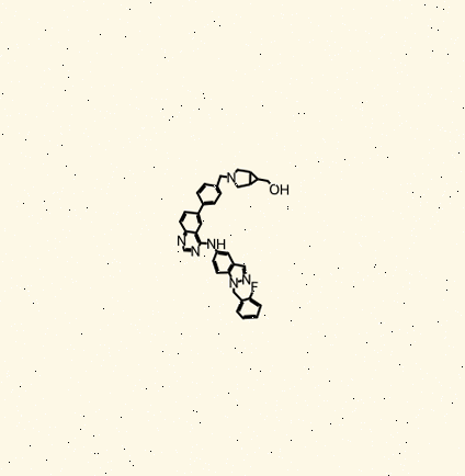 OCC1C2CN(Cc3ccc(-c4ccc5ncnc(Nc6ccc7c(cnn7Cc7ccccc7F)c6)c5c4)cc3)CC12